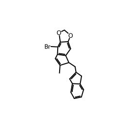 CC1=Cc2c(cc3c(c2Br)OCO3)C1CC1=Cc2ccccc2C1